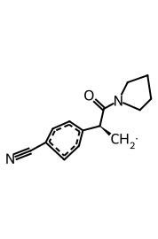 [CH2][C@H](C(=O)N1CCCC1)c1ccc(C#N)cc1